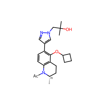 CC(=O)N1c2ccc(-c3cnn(CC(C)(C)O)c3)c(OC3CCC3)c2CC[C@@H]1C